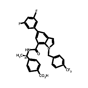 C[C@@H](NC(=O)c1cc(-c2cc(F)cc(F)c2)cc2ccn(Cc3ccc(C(F)(F)F)cc3)c12)c1ccc(C(=O)O)cc1